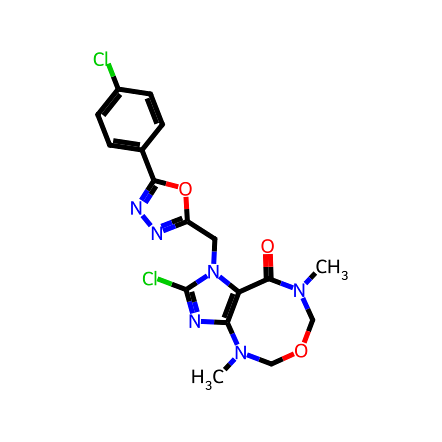 CN1COCN(C)c2nc(Cl)n(Cc3nnc(-c4ccc(Cl)cc4)o3)c2C1=O